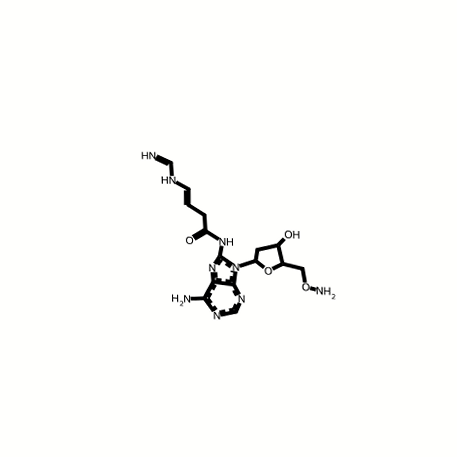 N=CN/C=C/CC(=O)Nc1nc2c(N)ncnc2n1C1CC(O)C(CON)O1